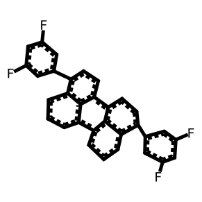 Fc1cc(F)cc(-c2ccc3c4ccc(-c5cc(F)cc(F)c5)c5cccc(c6cccc2c63)c54)c1